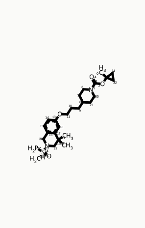 CC1(OC(=O)N2CCC(CCCOc3ccc4c(c3)C(C)(C)CN([SH](C)(=O)P)C4)CC2)CC1